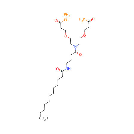 O=C(O)CCCCCCCCCCC(=O)NCCCC(=O)N(CCOCCC(=O)P)CCOCCC(=O)PP